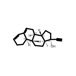 C#C[C@]1(O)CC[C@H]2[C@@H]3CC=C4C=CCC[C@@H]4[C@H]3CC[C@@]21C